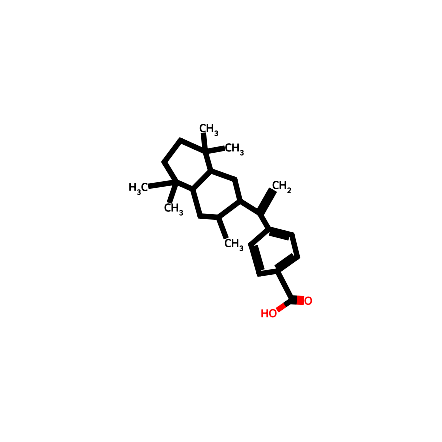 C=C(c1ccc(C(=O)O)cc1)C1CC2C(CC1C)C(C)(C)CCC2(C)C